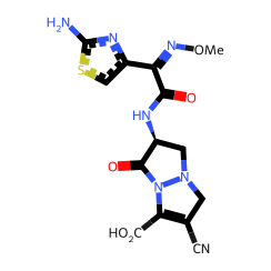 CO/N=C(\C(=O)N[C@H]1CN2CC(C#N)=C(C(=O)O)N2C1=O)c1csc(N)n1